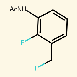 CC(=O)Nc1cccc(CF)c1F